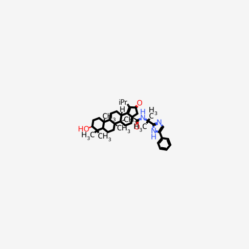 CC(C)C1=C2[C@H]3CCC4[C@@]5(C)CC[C@H](O)C(C)(C)C5CC[C@@]4(C)[C@]3(C)CC[C@@]2(C(=O)NC(C)(C)c2ncc(-c3ccccc3)[nH]2)CC1=O